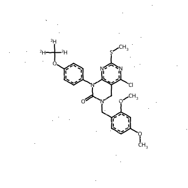 [2H]C([2H])([2H])Oc1ccc(N2C(=O)N(Cc3ccc(OC)cc3OC)Cc3c(Cl)nc(SC)nc32)cc1